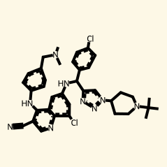 CN(C)Cc1ccc(Nc2c(C#N)cnc3c(Cl)cc(NC(c4ccc(Cl)cc4)c4cn(C5CCN(C(C)(C)C)CC5)nn4)cc23)cc1